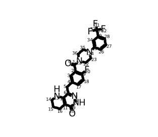 O=C(c1cc(Cc2n[nH]c(=O)c3c2NCCC3)ccc1F)N1CCN(c2cccc(C(F)(F)F)c2)CC1